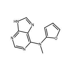 CN(c1ccco1)c1ncnc2[nH]cnc12